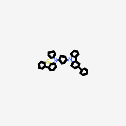 c1ccc(-c2ccc3c(c2)c2ccccc2n3-c2ccc(N(c3ccccc3)c3cccc4c3sc3ccccc34)cc2)cc1